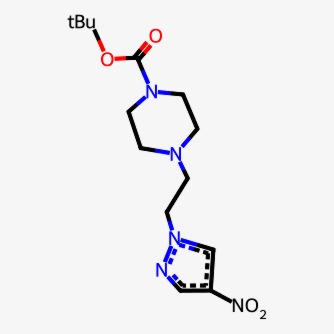 CC(C)(C)OC(=O)N1CCN(CCn2cc([N+](=O)[O-])cn2)CC1